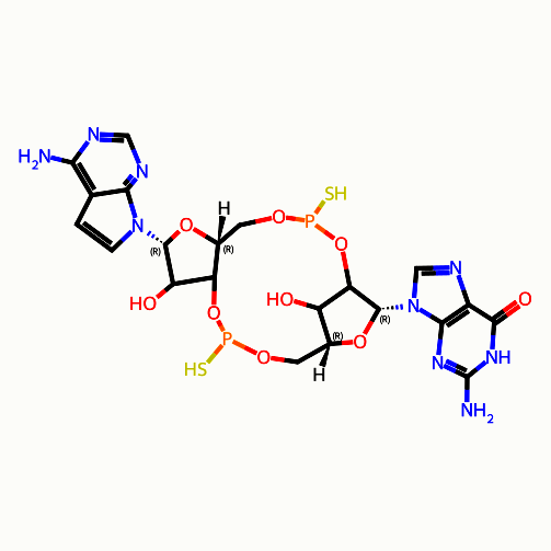 Nc1nc2c(ncn2[C@@H]2O[C@@H]3COP(S)OC4C(O)[C@H](n5ccc6c(N)ncnc65)O[C@@H]4COP(S)OC2C3O)c(=O)[nH]1